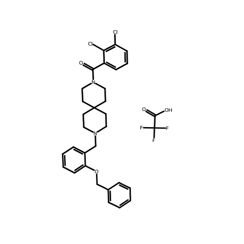 O=C(O)C(F)(F)F.O=C(c1cccc(Cl)c1Cl)N1CCC2(CCN(Cc3ccccc3OCc3ccccc3)CC2)CC1